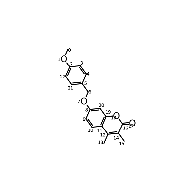 COc1ccc(COc2ccc3c(C)c(C)c(=O)oc3c2)cc1